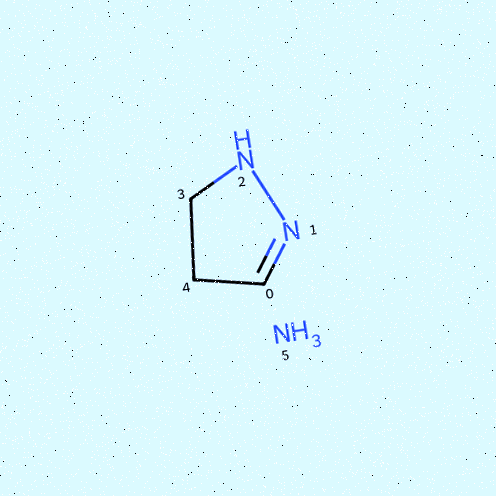 C1=NNCC1.N